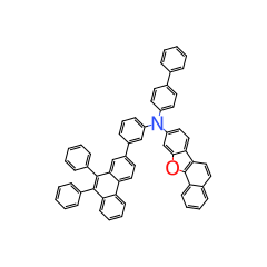 c1ccc(-c2ccc(N(c3cccc(-c4ccc5c(c4)c(-c4ccccc4)c(-c4ccccc4)c4ccccc45)c3)c3ccc4c(c3)oc3c5ccccc5ccc43)cc2)cc1